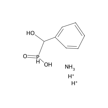 N.O=[PH](O)C(O)c1ccccc1.[H+].[H+]